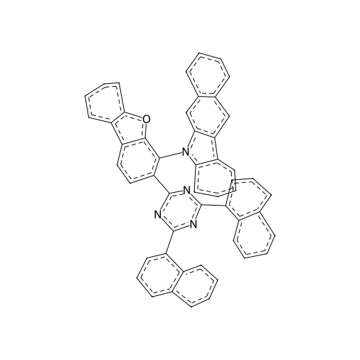 c1ccc2cc3c(cc2c1)c1ccccc1n3-c1c(-c2nc(-c3cccc4ccccc34)nc(-c3cccc4ccccc34)n2)ccc2c1oc1ccccc12